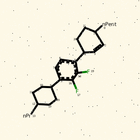 CCCCCC1C=CC(c2ccc(C3CCC(CCC)CC3)c(F)c2F)CC1